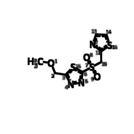 COCc1nnc(S(=O)(=O)Cc2nccs2)s1